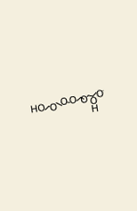 COCC(O)COCCOCOCCOCCO